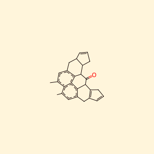 Cc1cc2c3c4c5c(cc(C)c14)CC1C=CCC1C5C(=O)C3C1=C(C=CC1)C2